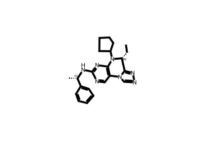 CC[C@@H]1c2nncn2-c2cnc(N[C@@H](C)c3ccccc3)nc2N1C1CCCC1